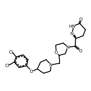 O=C1CCC(C(=O)N2CCOC(CN3CCC(Oc4ccc(Cl)c(Cl)c4)CC3)C2)=NN1